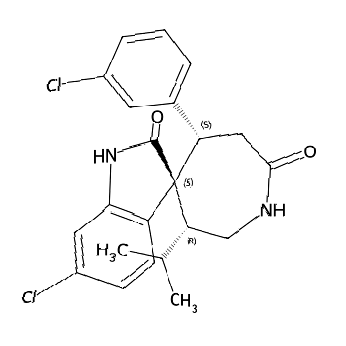 CC(C)[C@H]1CNC(=O)C[C@@H](c2cccc(Cl)c2)[C@]12C(=O)Nc1cc(Cl)ccc12